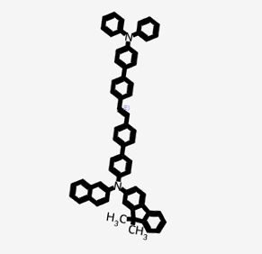 CC1(C)c2ccccc2-c2ccc(N(c3ccc(-c4ccc(/C=C/c5ccc(-c6ccc(N(c7ccccc7)c7ccccc7)cc6)cc5)cc4)cc3)c3ccc4ccccc4c3)cc21